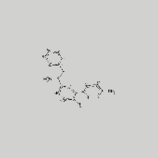 Nc1ccc(-c2cc(C(N)Cc3ccccc3)nnc2Cl)cc1